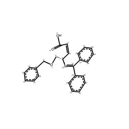 O=C(O)/C=C\[C@@H](COCc1ccccc1)N=C(c1ccccc1)c1ccccc1